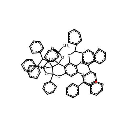 CC(=O)OC1(O)c2c(cc(OC(c3ccccc3)c3ccccc3)c(OC(c3ccccc3)c3ccccc3)c2OC(c2ccccc2)c2ccccc2)OC(OC(c2ccccc2)c2ccccc2)(c2ccccc2)C1(O)OC(c1ccccc1)c1ccccc1